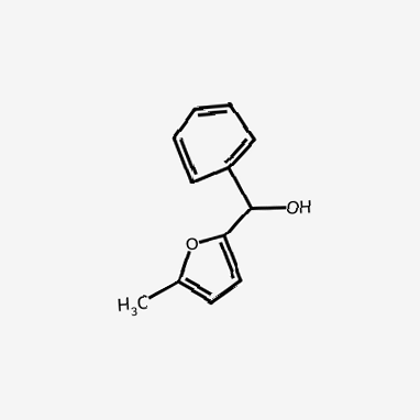 Cc1ccc(C(O)c2ccccc2)o1